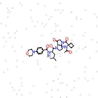 CC(=O)NC1(C(=O)N2CC(=O)C3C2CCN3C(=O)C(CC(C)C)NC(=O)c2ccc(N3CCOCC3)cc2)CCC1